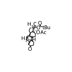 CC(=O)OC[C@]12CC[C@H]3C(=C1CC[C@@H]2[C@H](C)OC(=O)C(C)(C)C)C=CC1=CC(=O)CC[C@@]13C